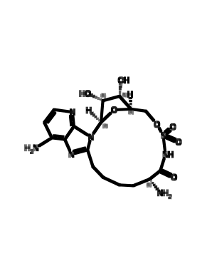 Nc1ccnc2c1nc1n2[C@@H]2O[C@H](COS(=O)(=O)NC(=O)[C@H](N)CCCC1)[C@@H](O)[C@H]2O